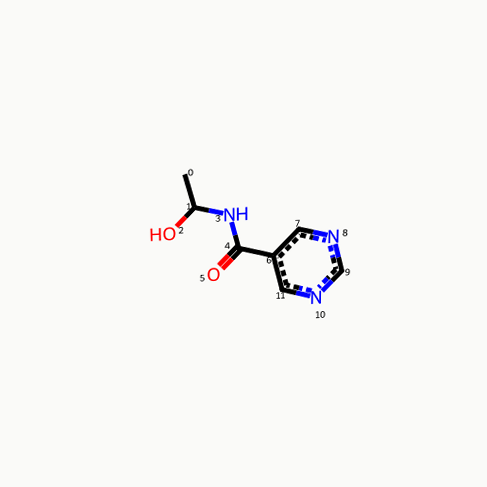 CC(O)NC(=O)c1cncnc1